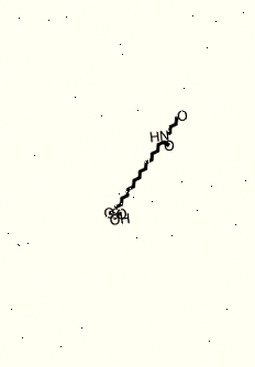 O=CCCCNC(=O)CCCCCCCCCCCCCCCS(=O)(=O)O